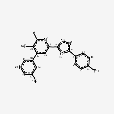 Cc1nc(-c2nnc(-c3ccc(F)cc3)o2)cc(-c2cncc(F)c2)c1F